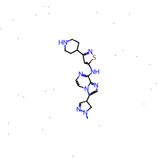 CN1CC(c2cnc3c(Nc4cc(C5CCNCC5)ns4)nccn23)C=N1